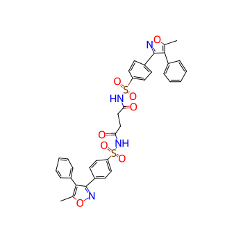 Cc1onc(-c2ccc(S(=O)(=O)NC(=O)CCC(=O)NS(=O)(=O)c3ccc(-c4noc(C)c4-c4ccccc4)cc3)cc2)c1-c1ccccc1